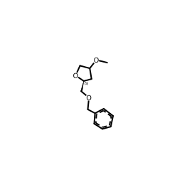 COC1CO[C@H](COCc2ccccc2)C1